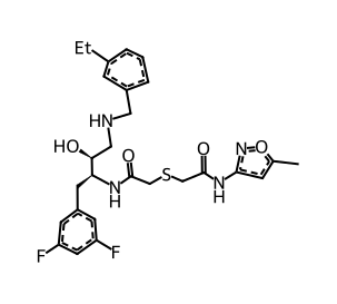 CCc1cccc(CNC[C@H](O)[C@H](Cc2cc(F)cc(F)c2)NC(=O)CSCC(=O)Nc2cc(C)on2)c1